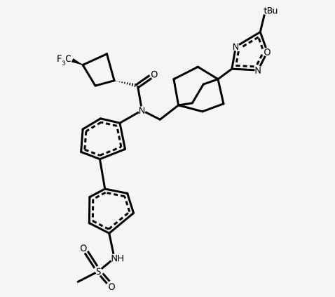 CC(C)(C)c1nc(C23CCC(CN(c4cccc(-c5ccc(NS(C)(=O)=O)cc5)c4)C(=O)[C@H]4C[C@H](C(F)(F)F)C4)(CC2)CC3)no1